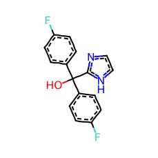 OC(c1ccc(F)cc1)(c1ccc(F)cc1)c1ncc[nH]1